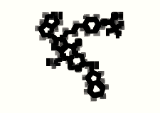 Cn1c(=O)n(CC(=O)NC2Cc3ccccc3C2)c(=O)c2c1nc(N1CCC3CNCC31)n2CC=Cc1ccccc1.O=C(O)C(F)(F)F